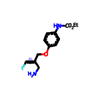 CCOC(=O)Nc1ccc(OC/C(=C/F)CN)cc1